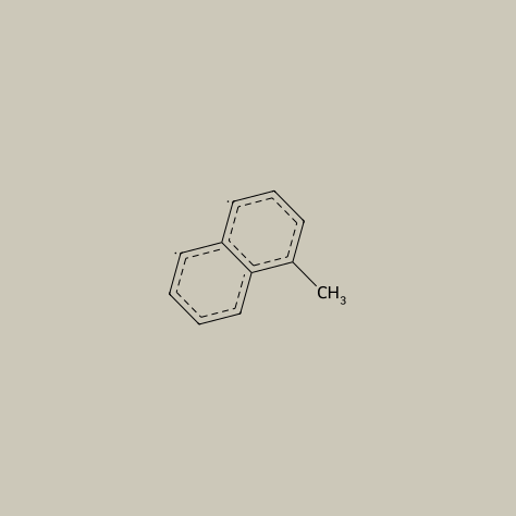 Cc1cc[c]c2[c]cccc12